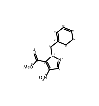 COC(=O)c1c([N+](=O)[O-])cnn1CC1=CC=CCC1